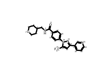 O=C(NCC1CCOCC1)c1ccc(-n2nc(-c3cccnc3)cc2C(F)(F)F)cc1